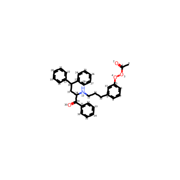 CC(=O)OOc1cccc(CCCNC(CC(c2ccccc2)c2ccccc2)C(=O)c2ccccc2)c1